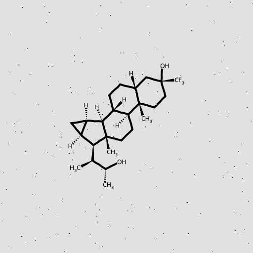 C[C@@H]([C@H]1[C@H]2C[C@H]2[C@H]2[C@@H]3CC[C@@H]4C[C@@](O)(C(F)(F)F)CC[C@]4(C)[C@H]3CC[C@@]21C)[C@@H](C)O